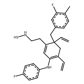 C=CC1=C(Nc2ccc(F)cc2)C=C(CCNS)C(C=C)(Cc2ccc(C)c(F)c2)C1